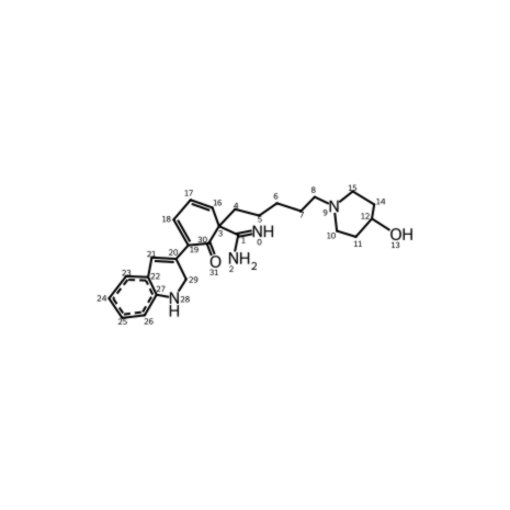 N=C(N)C1(CCCCCN2CCC(O)CC2)C=CC=C(C2=Cc3ccccc3NC2)C1=O